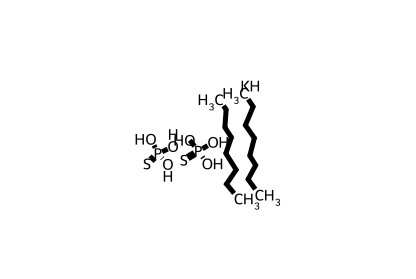 CCCCCCCC.CCCCCCCC.OP(O)(O)=S.OP(O)(O)=S.[KH]